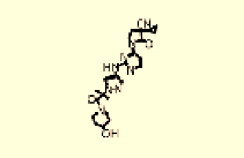 CC(C)(C(=O)N1CCC(O)CC1)n1cc(Nc2nccc(N3CC[C@@](C#N)(C4CC4)C3=O)n2)cn1